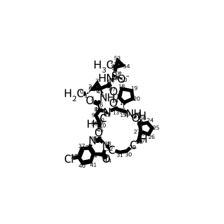 C=C[C@@H]1C[C@]1(NC(=O)[C@@H]1C[C@@H]2CN1C(=O)[C@H](C1CCCC1)NO[C@@H]1CCC[C@H]1CCCCCn1c(nc3cc(Cl)ccc3c1=O)O2)C(=O)N[S@+]([O-])C1(C)CC1